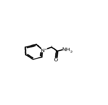 NC(=O)[CH][n+]1ccccc1